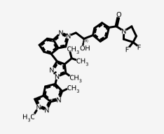 Cc1nc2nn(C)cc2cc1-n1nc(-c2cccc3nn(C[C@H](O)c4ccc(C(=O)N5CCC(F)(F)C5)cc4)cc23)c(C(C)C)c1C